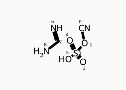 N#COS(=O)(=O)O.N=CN